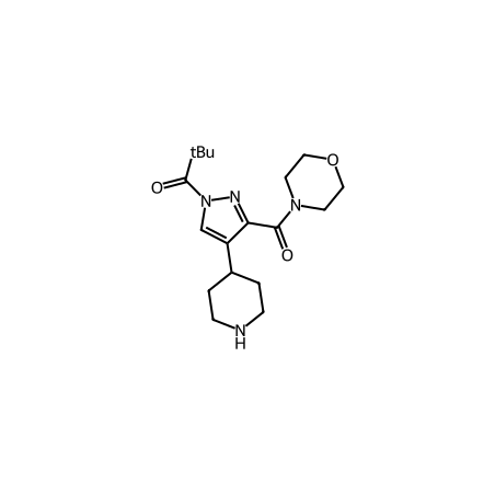 CC(C)(C)C(=O)n1cc(C2CCNCC2)c(C(=O)N2CCOCC2)n1